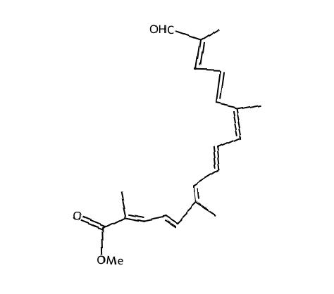 COC(=O)C(C)=CC=CC(C)=CC=CC=C(C)C=CC=C(C)C=O